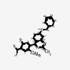 COc1cc(C(F)F)c(F)cc1-c1nc(C)nc2cc(SCc3ccccc3)ccc12